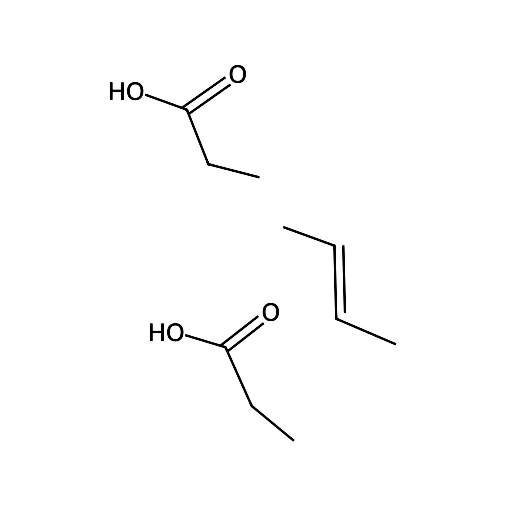 CC=CC.CCC(=O)O.CCC(=O)O